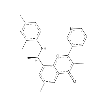 Cc1cc([C@@H](C)Nc2ccc(C)nc2C)c2oc(-c3cccnc3)c(C)c(=O)c2c1